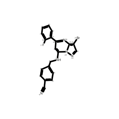 N#Cc1ccc(CNc2cc(-c3ccccc3F)nc3c(Br)cnn23)cc1